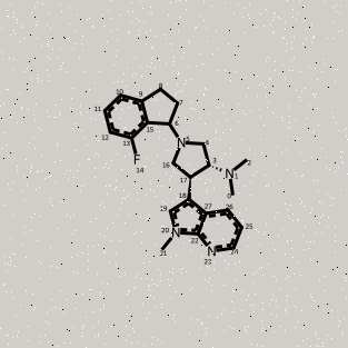 CN(C)[C@H]1CN(C2CCc3cccc(F)c32)C[C@@H]1c1cn(C)c2ncccc12